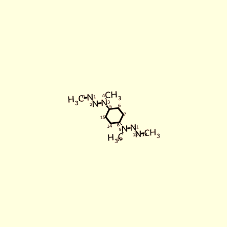 CN=NN(C)[C@H]1CC[C@H](N(C)N=NC)CC1